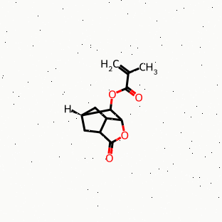 C=C(C)C(=O)OC1C2OC(=O)C3C[C@@H]1CC32